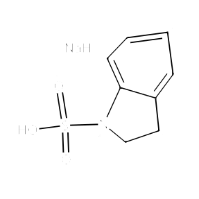 O=S(=O)(O)N1CCc2ccccc21.[NaH]